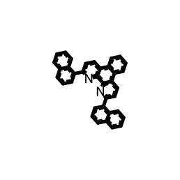 c1ccc2c(-c3ccc4c5ccccc5c5ccc(-c6cccc7ccccc67)nc5c4n3)cccc2c1